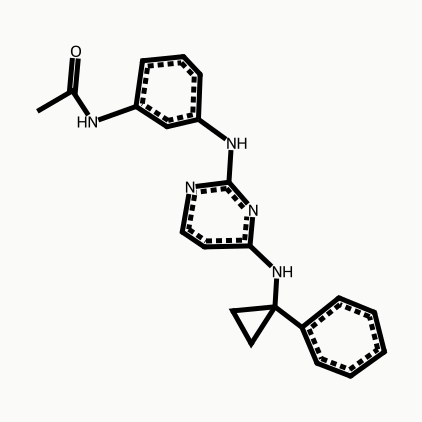 CC(=O)Nc1cccc(Nc2nccc(NC3(c4ccccc4)CC3)n2)c1